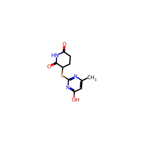 Cc1cc(O)nc(SC2CCC(=O)NC2=O)n1